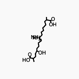 CC(CCCCCCCCCCCC(O)CCC(C)C(=O)O)C(=O)O.N.N